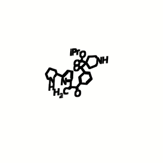 C=C(C(=O)c1cccc(C(=O)C2(C(=O)OC(C)C)CCNCC2)c1)c1cccc(C2CCCCN2)n1